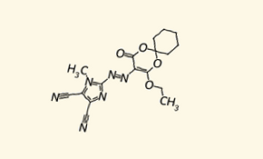 CCOC1=C(/N=N/c2nc(C#N)c(C#N)n2C)C(=O)OC2(CCCCC2)O1